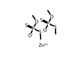 COP([O-])(=S)SC.COP([O-])(=S)SC.[Zn+2]